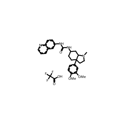 COc1ccc(C23CCC(NC(=O)Nc4ccc5ncccc5c4)CC2N(C)CC3)cc1OC.O=C(O)C(F)(F)F